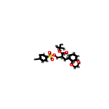 Cc1ccc(S(=O)(=O)OCC(Cc2cccc3c2OCCO3)C(=O)OC(C)(C)C)cc1